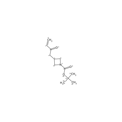 C=CC(=O)CC1CN(C(=O)OC(C)(C)C)C1